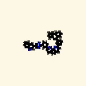 c1cc(-c2ccc3ccc4ccc(-c5cccc(-c6cc7ccccc7c7ccccc67)c5)nc4c3n2)cc(-c2ncc(-c3cnc4ccccc4c3)cn2)c1